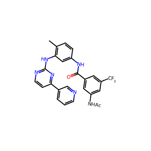 CC(=O)Nc1cc(C(=O)Nc2ccc(C)c(Nc3nccc(-c4cccnc4)n3)c2)cc(C(F)(F)F)c1